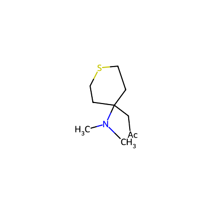 CC(=O)CC1(N(C)C)CCSCC1